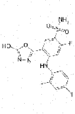 Cc1cc(I)ccc1Nc1cc(F)c(S(N)(=O)=O)cc1-c1nnc(O)o1